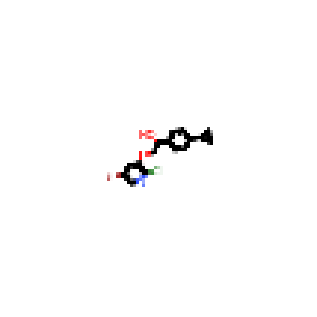 OC(COc1cc(Br)cnc1Cl)c1ccc(C2CC2)cc1